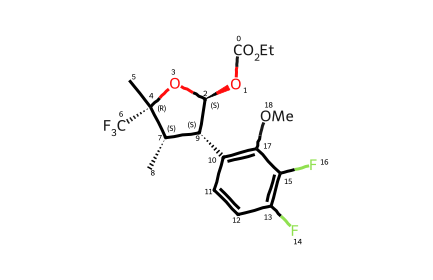 CCOC(=O)O[C@@H]1O[C@@](C)(C(F)(F)F)[C@@H](C)[C@H]1c1ccc(F)c(F)c1OC